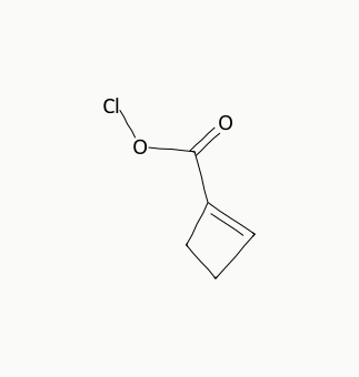 O=C(OCl)C1=CCC1